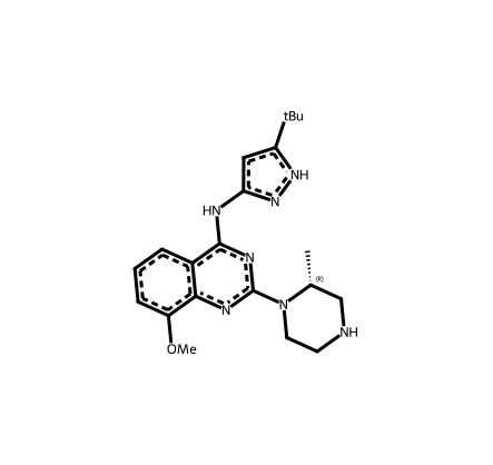 COc1cccc2c(Nc3cc(C(C)(C)C)[nH]n3)nc(N3CCNC[C@H]3C)nc12